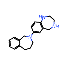 c1ccc2c(c1)CCCN(c1ccc3c(c1)CNCCN3)C2